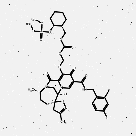 CC1=NO[C@@]2(CC[C@H](C)N3C[C@H]2n2cc(C(=O)NCc4ccc(F)cc4F)c(=O)c(OCOC(=O)OC[C@@H]4CCCC[C@@H]4OP(=O)(OC(C)(C)C)OC(C)(C)C)c2C3=O)C1